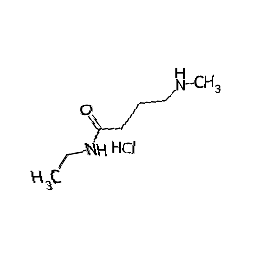 CCNC(=O)CCCNC.Cl